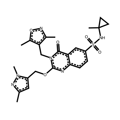 Cc1cc(COc2nc3ccc(S(=O)(=O)NC4(C)CC4)cc3c(=O)n2Cc2c(C)noc2C)n(C)n1